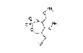 O=S1(=O)OCC(OP)C(OP)C(COP)O1